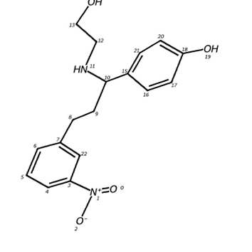 O=[N+]([O-])c1cccc(CCC(NCCO)c2ccc(O)cc2)c1